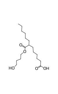 CCCCCCC(CCCCCC(=O)O)C(=O)OCCCCO